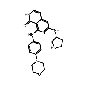 O=c1[nH]ccc2cc(N[C@H]3CCNC3)nc(Nc3ccc(N4CCOCC4)cc3)c12